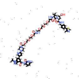 Cc1cc(C)c(CNC(=O)c2cc(-c3ccc(N4CCN(C(=O)COCCOCCOCC(=O)NCCOCCOCCOCCC(=O)N[C@H](C(=O)N5C[C@H](O)C[C@H]5C(=O)NCc5ccc(-c6scnc6C)cc5)C(C)(C)C)CC4)nc3)cc3c2cnn3C(C)C)c(=O)[nH]1